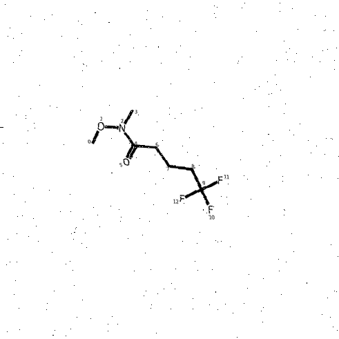 CON(C)C(=O)CCCC(F)(F)F